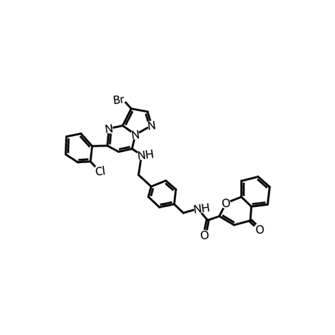 O=C(NCc1ccc(CNc2cc(-c3ccccc3Cl)nc3c(Br)cnn23)cc1)c1cc(=O)c2ccccc2o1